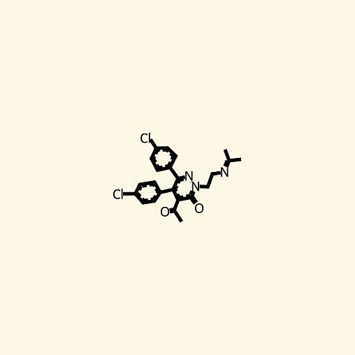 CC(=O)c1c(-c2ccc(Cl)cc2)c(-c2ccc(Cl)cc2)nn(CCN=C(C)C)c1=O